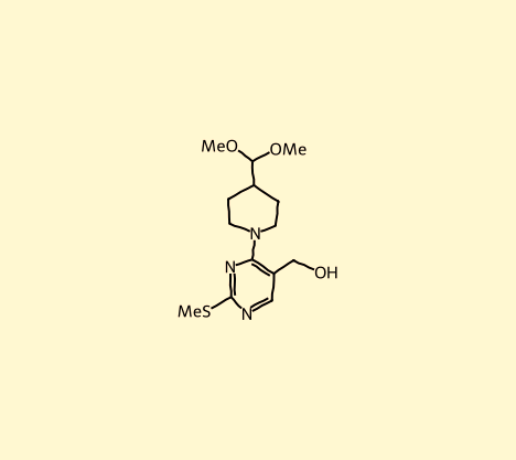 COC(OC)C1CCN(c2nc(SC)ncc2CO)CC1